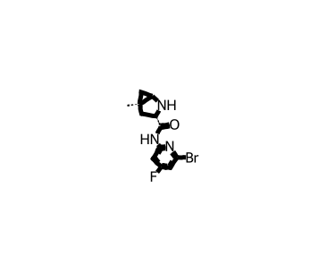 C[C@]12CC1N[C@H](C(=O)Nc1cc(F)cc(Br)n1)C2